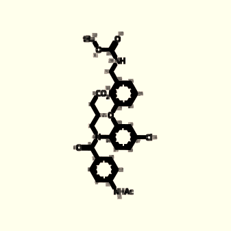 CCOC(=O)CCCN(C(=O)c1ccc(NC(C)=O)cc1)c1ccc(Cl)cc1Oc1cccc(CNC(=O)OC(C)(C)C)c1